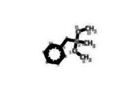 CO[Si](C)(Cc1ccccc1)OC